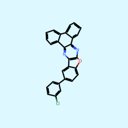 Clc1cccc(-c2ccc3oc4nc5c6ccccc6c6ccccc6c5nc4c3c2)c1